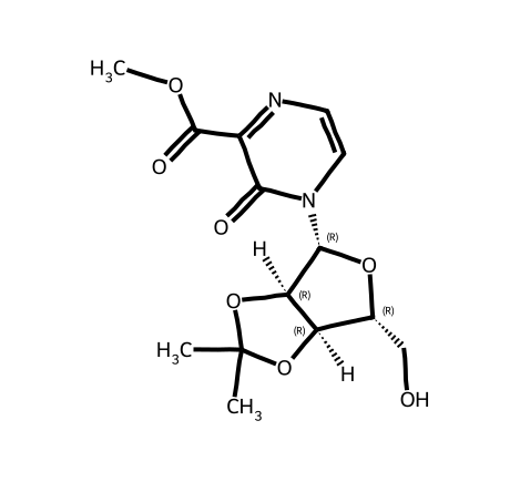 COC(=O)c1nccn([C@@H]2O[C@H](CO)[C@H]3OC(C)(C)O[C@H]32)c1=O